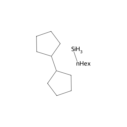 C1CCC(C2CCCC2)C1.CCCCCC[SiH3]